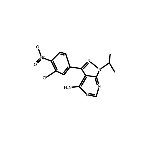 CC(C)n1nc(-c2ccc([N+](=O)[O-])c(Cl)c2)c2c(N)ncnc21